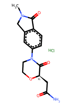 CN1Cc2cc(N3CCO[C@H](CC(N)=O)C3=O)ccc2C1=O.Cl